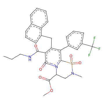 CCCNC(=O)c1c(Cc2cccc3ccccc23)c(-c2cccc(C(F)(F)F)c2)c2n(c1=O)C(C(=O)OC)CN(C)S2(=O)=O